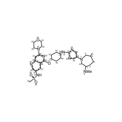 CNC1CCC(C)CN(c2cnc(N[C@H]3CC[C@@H](Oc4nc(N5CCOCC5)cc5ncc(NS(C)(=O)=O)cc45)CC3)nc2)C1